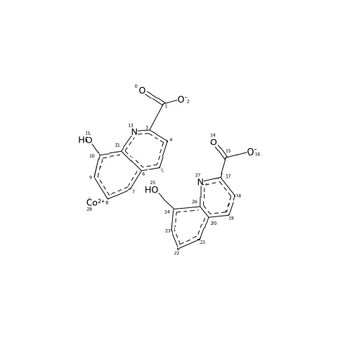 O=C([O-])c1ccc2cccc(O)c2n1.O=C([O-])c1ccc2cccc(O)c2n1.[Co+2]